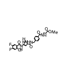 COC(=O)CCNC(=O)c1ccc(CNC(=O)c2cc(NC(=O)c3cc(F)c(F)cc3Cl)[nH]n2)cc1